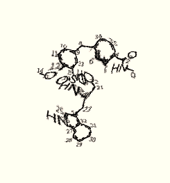 CNC(=O)c1ccc(Cc2ccc(OC)c(S(=O)(=O)N[C@@H](CO)Cc3c[nH]c4ccccc34)c2)cc1